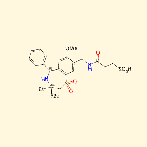 CCCC[C@]1(CC)CS(=O)(=O)c2cc(CNC(=O)CCS(=O)(=O)O)c(OC)cc2[C@@H](c2ccccc2)N1